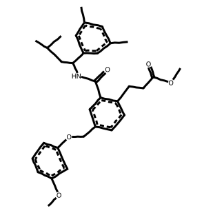 COC(=O)CCc1ccc(COc2cccc(OC)c2)cc1C(=O)NC(CC(C)C)c1cc(C)cc(C)c1